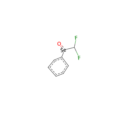 O=[Se](c1ccccc1)C(F)F